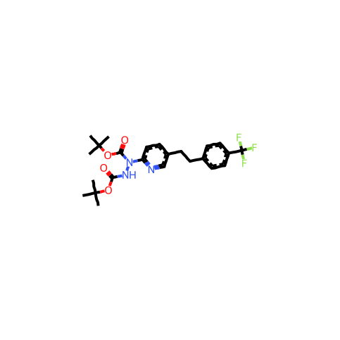 CC(C)(C)OC(=O)NN(C(=O)OC(C)(C)C)c1ccc(CCc2ccc(C(F)(F)F)cc2)cn1